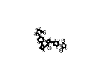 O=C(C1=C(c2ccc(N3C(=O)C=CC3=O)cc2)CC1)C1=C(c2ccc(N3C(=O)C=CC3=O)cc2)CC1